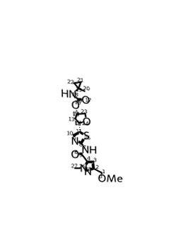 COCc1cc(C(=O)Nc2ncc([C@@H]3C[C@H](OC(=O)NC4(C)CC4)CO3)s2)n(C)n1